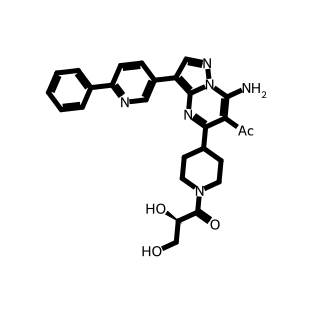 CC(=O)c1c(C2CCN(C(=O)[C@H](O)CO)CC2)nc2c(-c3ccc(-c4ccccc4)nc3)cnn2c1N